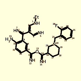 CCN/C=C(\C=N)C(=N)c1cc(C(=N)OC(=N)C2CCCN(Cc3ccccc3F)C2)ccc1N